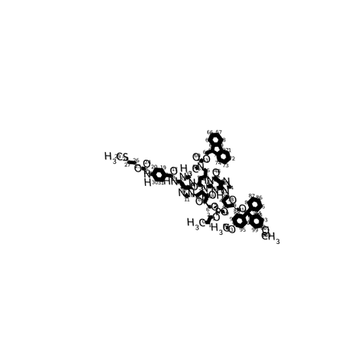 CCCOP(OC[C@H]1O[C@@H](n2cnc3c(NC(=O)c4ccc(NC(=O)OCCSC)cc4)ncnc32)CC1O)OC1C[C@H](n2cnc3c(=O)[nH]c(NC(=O)CCCN(C)C(=O)OCC4c5ccccc5-c5ccccc54)nc32)O[C@@H]1COC(c1ccccc1)(c1ccc(OC)cc1)c1ccc(OC)cc1